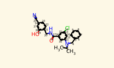 CC(C)N(Cc1ccccc1)c1cc(Cl)cc(C(=O)NCc2ccc(C#N)cc2O)c1